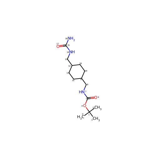 CC(C)(C)OC(=O)NCC1CCC(CNC(N)=O)CC1